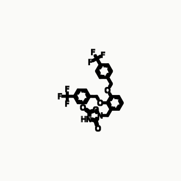 O=c1[nH]c(=O)n(Cc2cccc(OCc3ccc(C(F)(F)F)cc3)c2OCc2ccc(C(F)(F)F)cc2)o1